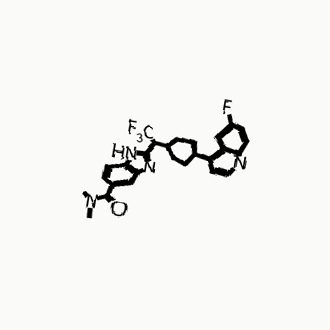 CN(C)C(=O)c1ccc2[nH]c(C(C3CCC(c4ccnc5ccc(F)cc45)CC3)C(F)(F)F)nc2c1